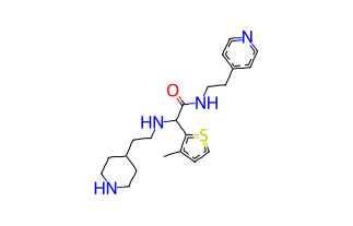 Cc1ccsc1C(NCCC1CCNCC1)C(=O)NCCc1ccncc1